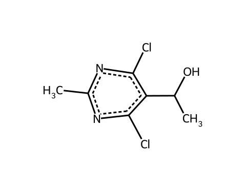 Cc1nc(Cl)c(C(C)O)c(Cl)n1